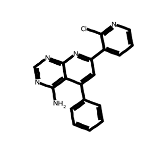 Nc1ncnc2nc(-c3cccnc3Cl)cc(-c3ccccc3)c12